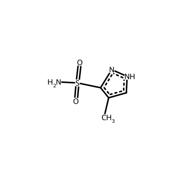 Cc1c[nH]nc1S(N)(=O)=O